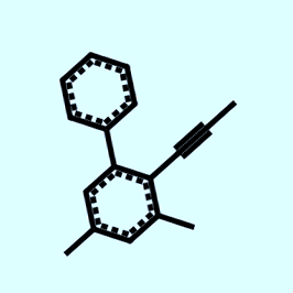 CC#Cc1c(C)cc(C)cc1-c1ccccc1